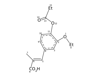 CCOc1cc(C=C(C)C(=O)O)ccc1OC(=O)CC